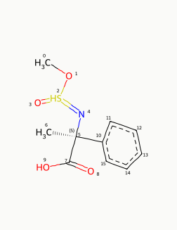 CO[SH](=O)=N[C@](C)(C(=O)O)c1ccccc1